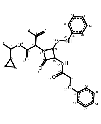 C=C(C)C(C(=O)OC(C)C1CC1)N1C(=O)C(NC(=O)COc2ccccc2)C1SNc1ccccc1